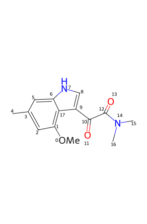 COc1cc(C)cc2[nH]cc(C(=O)C(=O)N(C)C)c12